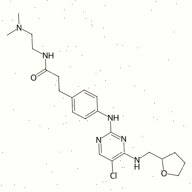 CN(C)CCNC(=O)CCc1ccc(Nc2ncc(Cl)c(NCC3CCCO3)n2)cc1